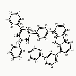 c1ccc(-c2cccc(-c3cccc4c3Cc3c(-c5ccc(-c6nc(-c7ccccc7)nc(-c7ccccc7)n6)cc5)cccc3-4)c2)cc1